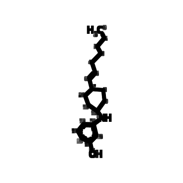 CCCCCC=CC1CCC(Nc2cccc(O)c2)CC1